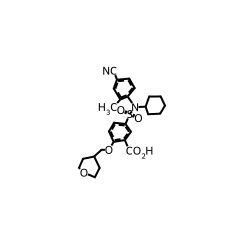 Cc1cc(C#N)ccc1N(C1CCCCC1)S(=O)(=O)c1ccc(OCC2CCOCC2)c(C(=O)O)c1